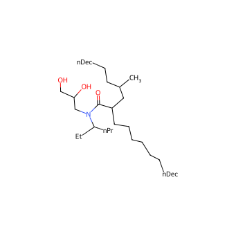 CCCCCCCCCCCCCCCCC(CC(C)CCCCCCCCCCCC)C(=O)N(CC(O)CO)C(CC)CCC